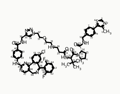 Cc1ncsc1-c1ccc(CNC(=O)[C@@H]2CCCN2C(=O)C(NC(=O)CCNCCOCCn2cc(CNC(=O)c3ccc(Nc4ncc5c(n4)-c4ccc(Cl)cc4C(c4c(F)cccc4F)=NC5)cc3)nn2)C(C)(C)C)cc1